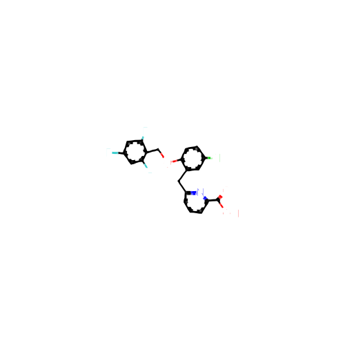 O=C(O)c1cccc(Cc2cc(Cl)ccc2OCc2c(F)cc(F)cc2F)n1